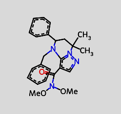 CON(OC)C(=O)c1cnn2c1N(Cc1ccccc1)C(c1ccccc1)CC2(C)C